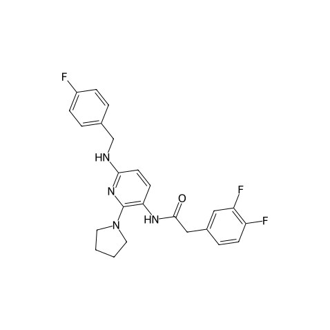 O=C(Cc1ccc(F)c(F)c1)Nc1ccc(NCc2ccc(F)cc2)nc1N1CCCC1